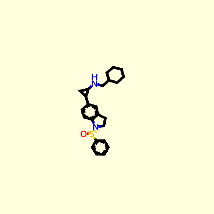 [O-][S+](c1ccccc1)N1CCc2cc(C3CC3NCC3CCCCC3)ccc21